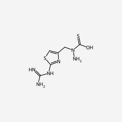 N=C(N)Nc1nc(CN(N)C(O)=S)cs1